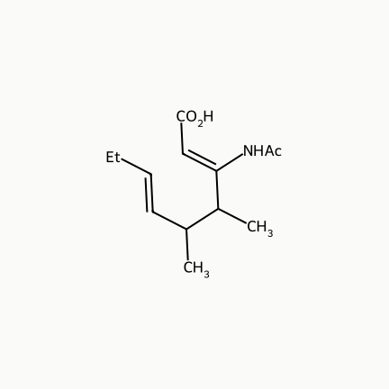 CCC=CC(C)C(C)C(=CC(=O)O)NC(C)=O